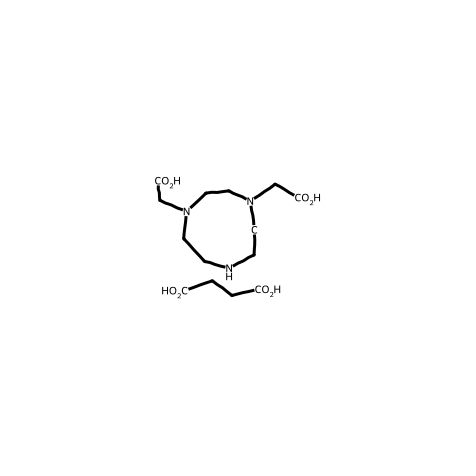 O=C(O)CCC(=O)O.O=C(O)CN1CCNCCN(CC(=O)O)CC1